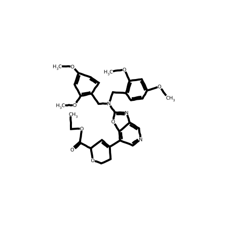 CCOC(=O)C1C=C(c2cncc3nc(N(Cc4ccc(OC)cc4OC)Cc4ccc(OC)cc4OC)oc23)CCO1